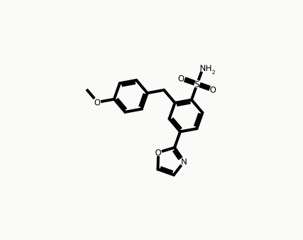 COc1ccc(Cc2cc(-c3ncco3)ccc2S(N)(=O)=O)cc1